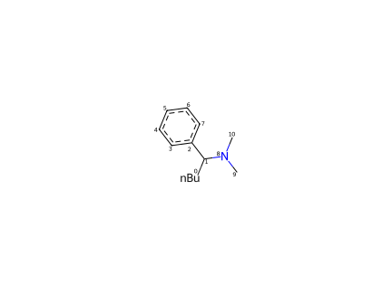 CCCCC(c1ccccc1)N(C)C